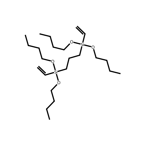 C=C[Si](CCC[Si](C=C)(OCCCC)OCCCC)(OCCCC)OCCCC